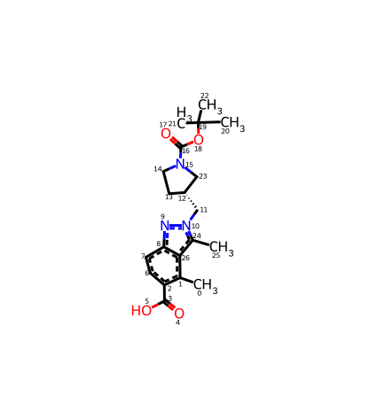 Cc1c(C(=O)O)ccc2nn(C[C@@H]3CCN(C(=O)OC(C)(C)C)C3)c(C)c12